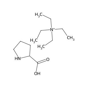 CC[N+](CC)(CC)CC.O=C(O)C1CCCN1